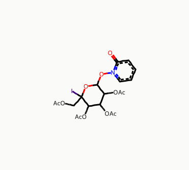 CC(=O)OCC1(I)OC(On2ccccc2=O)C(OC(C)=O)C(OC(C)=O)C1OC(C)=O